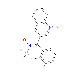 CC1(C)Cc2c(F)cccc2C(c2cc3ccccc3[n+]([O-])c2)=[N+]1[O-]